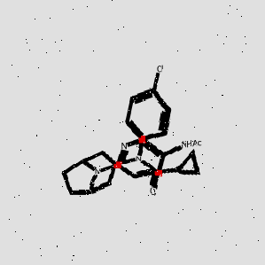 CC(=O)Nc1ccc(N2C3CCC2CC(N(C(=O)C2CC2)c2ccc(Cl)cc2)C3)nc1